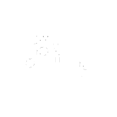 CNC(=O)c1cc(C(=O)NCCC[C@]2(F)CCCN(C(=O)OC(C)(C)C)C2)cc(Cc2ccccc2)n1